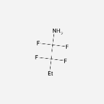 CCC(F)(F)C(N)(F)F